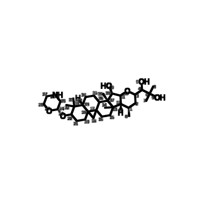 C[C@@H]1CC(C(O)C(C)(C)O)OC2[C@H]1C1(C)CCC34CC35CCC(O[C@H]3CNCCO3)C(C)(C)[C@@H]5CCC4[C@]1(C)[C@H]2O